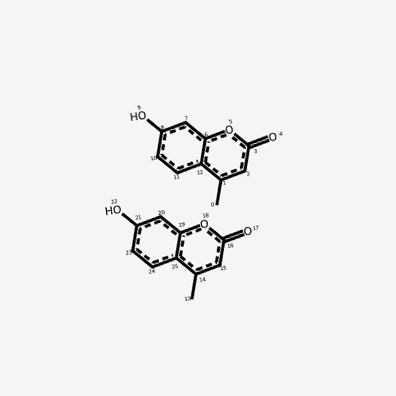 Cc1cc(=O)oc2cc(O)ccc12.Cc1cc(=O)oc2cc(O)ccc12